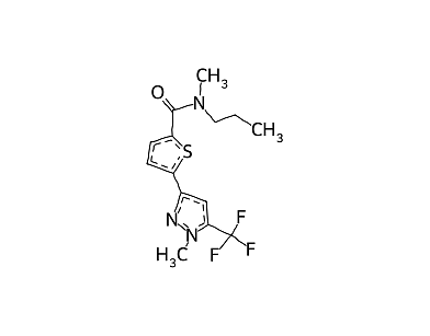 CCCN(C)C(=O)c1ccc(-c2cc(C(F)(F)F)n(C)n2)s1